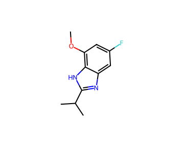 COc1cc(F)cc2nc(C(C)C)[nH]c12